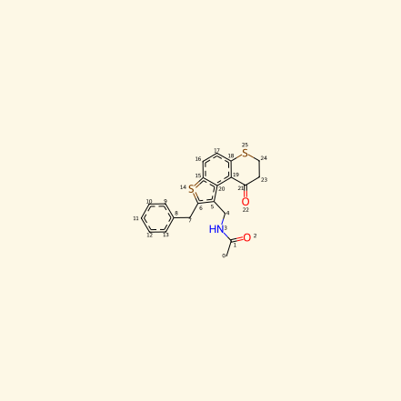 CC(=O)NCc1c(Cc2ccccc2)sc2ccc3c(c12)C(=O)CCS3